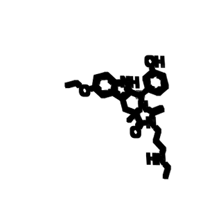 C=C1N(CCCNCC)C(=O)[C@]2(C)Cc3c([nH]c4ccc(OCC)cc34)[C@@H](c3cccc(O)c3)N12